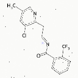 Cc1cnc(C/C=N/C(=O)c2ccccc2C(F)(F)F)c(Cl)c1